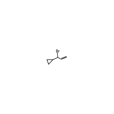 C=CC(Br)C1CC1